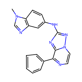 Cn1cnc2cc(Nc3nc4c(-c5ccccc5)nccn4n3)ccc21